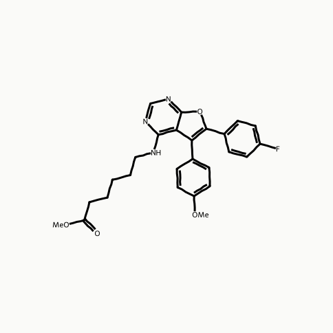 COC(=O)CCCCCNc1ncnc2oc(-c3ccc(F)cc3)c(-c3ccc(OC)cc3)c12